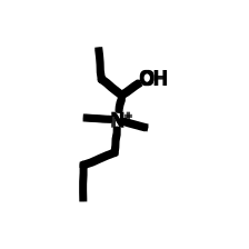 CCC[N+](C)(C)C(O)CC